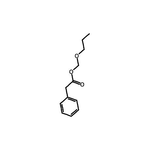 CCCOCOC(=O)Cc1ccccc1